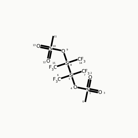 CS(=O)(=O)O[Si](C(F)(F)F)(C(F)(F)F)[Si](OS(C)(=O)=O)(C(F)(F)F)C(F)(F)F